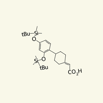 CC(C)(C)[Si](C)(C)Oc1ccc(C2CCC(=CC(=O)O)CC2)c(O[Si](C)(C)C(C)(C)C)c1